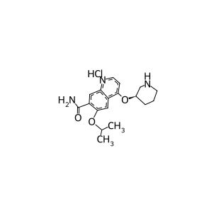 CC(C)Oc1cc2c(O[C@@H]3CCCNC3)ccnc2cc1C(N)=O.Cl